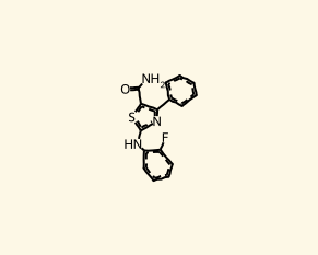 NC(=O)c1sc(Nc2ccccc2F)nc1-c1ccccc1